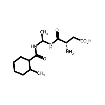 CC1CCCCC1C(=O)N[C@@H](C)NC(=O)[C@@H](N)CC(=O)O